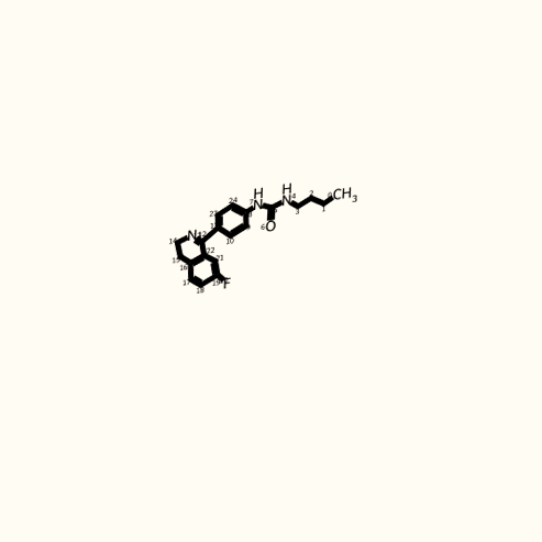 CCCCNC(=O)Nc1ccc(C2=NCCc3ccc(F)cc32)cc1